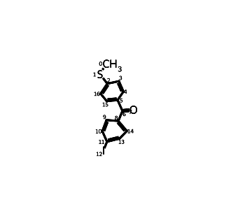 CSc1ccc(C(=O)c2ccc(I)cc2)cc1